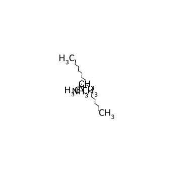 CCCCCCCCCCCCCCCCCC.CN(C)C.N